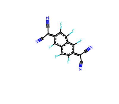 N#CC(C#N)=c1c(F)c(F)c2c(F)c(=C(C#N)C#N)c(F)c(F)c2c1F